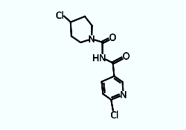 O=C(NC(=O)N1CCC(Cl)CC1)c1ccc(Cl)nc1